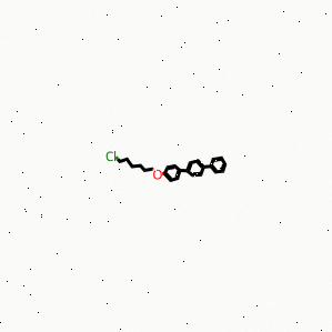 ClCCCCCCOc1ccc(-c2ccc(-c3ccccc3)cc2)cc1